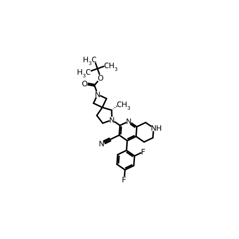 C[C@@H]1N(c2nc3c(c(-c4ccc(F)cc4F)c2C#N)CCNC3)CCC12CN(C(=O)OC(C)(C)C)C2